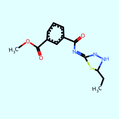 CCC1N[N]C(=NC(=O)c2cccc(C(=O)OC)c2)S1